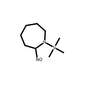 C[Si](C)(C)N1CCCCCC1N=O